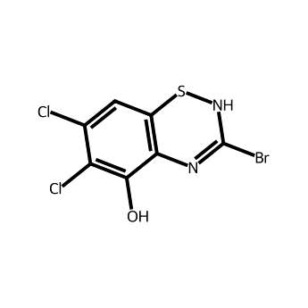 Oc1c(Cl)c(Cl)cc2c1N=C(Br)NS2